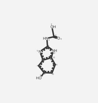 O=C(O)Nc1nc2cc(O)ccc2[nH]1